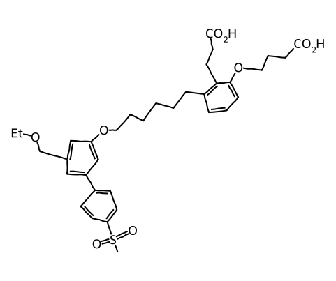 CCOCc1cc(OCCCCCCc2cccc(OCCCC(=O)O)c2CCC(=O)O)cc(-c2ccc(S(C)(=O)=O)cc2)c1